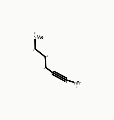 CCCC#CCCCNC